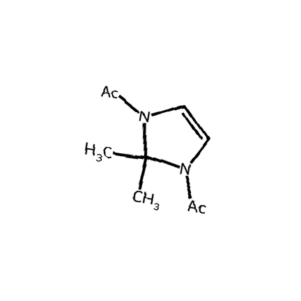 CC(=O)N1C=CN(C(C)=O)C1(C)C